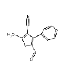 Cc1sc(C=O)c(-c2ccccc2)c1C#N